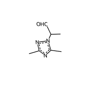 Cc1nc(C)n(C(C)C=O)n1